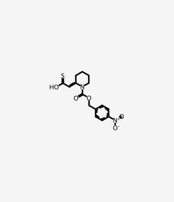 O=C(OCc1ccc([N+](=O)[O-])cc1)N1CCCCC1=CC(O)=S